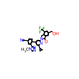 Cn1cnnc1-c1cc(C#N)ccc1-c1cc(C2CC2)nc(N2Cc3c(cc(CO)cc3C(F)(F)F)C2=O)c1